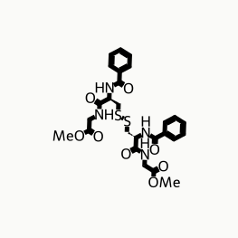 COC(=O)CNC(=O)[C@H](CSSC[C@H](NC(=O)c1ccccc1)C(=O)NCC(=O)OC)NC(=O)c1ccccc1